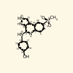 CS(=O)(=O)c1ccc2nc(Nc3ccc(O)cc3)c3n[nH]cc3c2c1